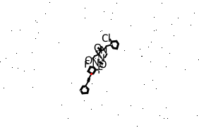 CC12CC(=O)N(c3c(F)cc(C#Cc4ccccc4)cc3F)C(=O)N1CCN(Cc1ccccc1Cl)C2=O